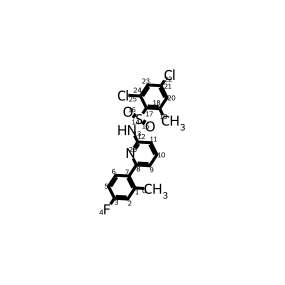 Cc1cc(F)ccc1-c1cccc(NS(=O)(=O)c2c(C)cc(Cl)cc2Cl)n1